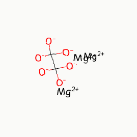 [Mg+2].[Mg+2].[Mg+2].[O-]C([O-])([O-])C([O-])([O-])[O-]